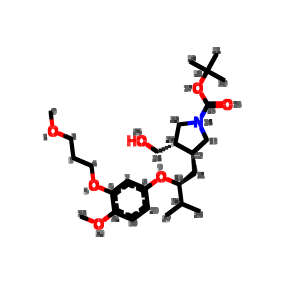 COCCCOc1cc(O[C@@H](C[C@@H]2CN(C(=O)OC(C)(C)C)C[C@H]2CO)C(C)C)ccc1OC